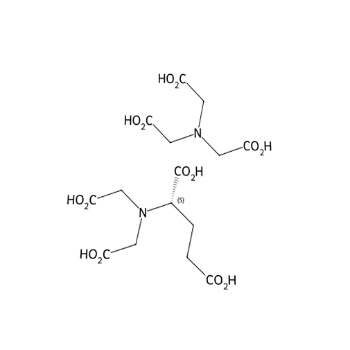 O=C(O)CC[C@@H](C(=O)O)N(CC(=O)O)CC(=O)O.O=C(O)CN(CC(=O)O)CC(=O)O